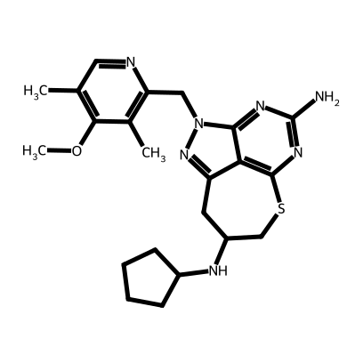 COc1c(C)cnc(Cn2nc3c4c(nc(N)nc42)SCC(NC2CCCC2)C3)c1C